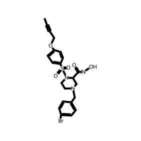 CC#CCOc1ccc(S(=O)(=O)N2CCN(Cc3ccc(Br)cc3)CC2C(=O)NO)cc1